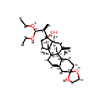 C=C1C[C@@]2(C)[C@@H](CC[C@]2(O)C(=C)C(OCC)OCC)[C@@H]2CC=C3CC4(CC[C@@H]3[C@@H]12)OCCO4